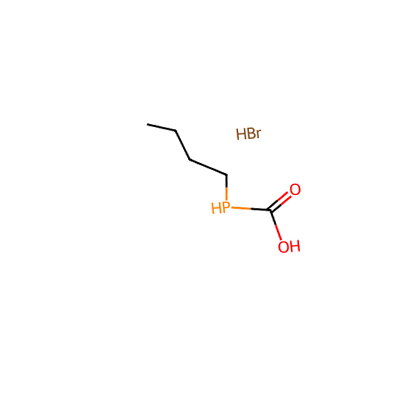 Br.CCCCPC(=O)O